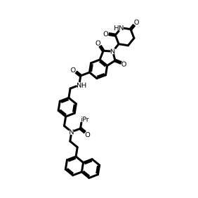 CC(C)C(=O)N(CCc1cccc2ccccc12)Cc1ccc(CNC(=O)c2ccc3c(c2)C(=O)N(C2CCC(=O)NC2=O)C3=O)cc1